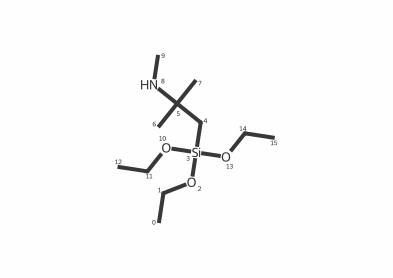 CCO[Si](CC(C)(C)NC)(OCC)OCC